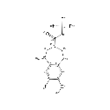 COc1cc2c(cc1I)C(C)CN(C(=O)CC(F)(F)F)CC2